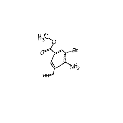 COC(=O)c1cc(Br)c(N)c(C=N)c1